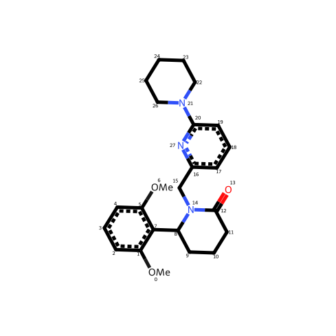 COc1cccc(OC)c1C1CCCC(=O)N1Cc1cccc(N2CCCCC2)n1